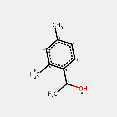 Cc1ccc(C(O)C(F)(F)F)c(C)c1